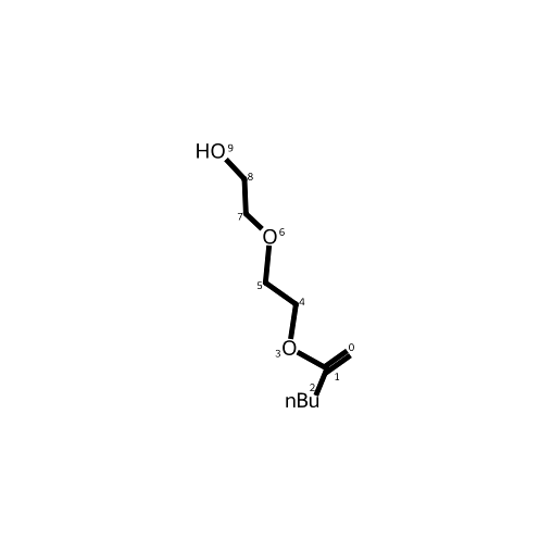 C=C(CCCC)OCCOCCO